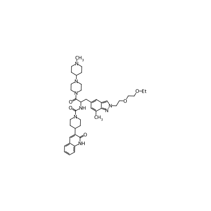 CCOCCOCCn1cc2cc(CC(NC(=O)N3CCC(c4cc5ccccc5[nH]c4=O)CC3)C(=O)N3CCN(C4CCN(C)CC4)CC3)cc(C)c2n1